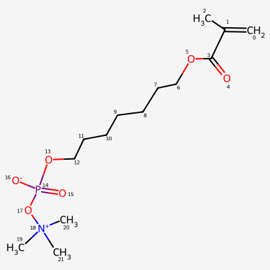 C=C(C)C(=O)OCCCCCCCOP(=O)([O-])O[N+](C)(C)C